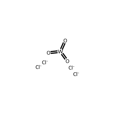 [Cl-].[Cl-].[Cl-].[Cl-].[O]=[W](=[O])=[O]